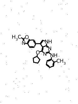 Cc1nc2ccc(-c3c[nH]c4nc(Nc5cc[c]cc5C)nc(OC5CCCC5)c34)cc2o1